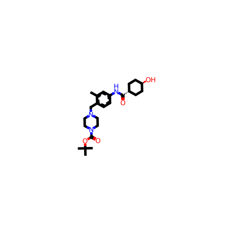 Cc1cc(NC(=O)[C@H]2CC[C@H](O)CC2)ccc1CN1CCN(C(=O)OC(C)(C)C)CC1